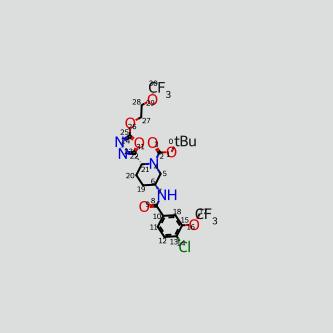 CC(C)(C)OC(=O)N1C[C@@H](NC(=O)c2ccc(Cl)c(OC(F)(F)F)c2)CC[C@@H]1c1nnc(OCCOC(F)(F)F)o1